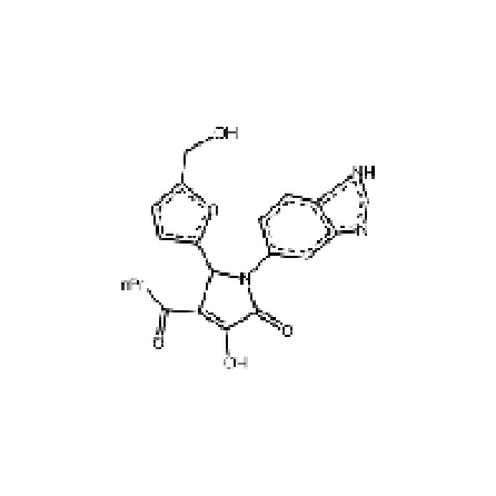 CCCC(=O)C1=C(O)C(=O)N(c2ccc3[nH]cnc3c2)C1c1ccc(CO)o1